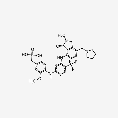 COc1cc(CP(=O)(O)O)ccc1Nc1ncc(C(F)(F)F)c(Nc2ccc(CN3CCCC3)c3c2C(=O)N(C)C3)n1